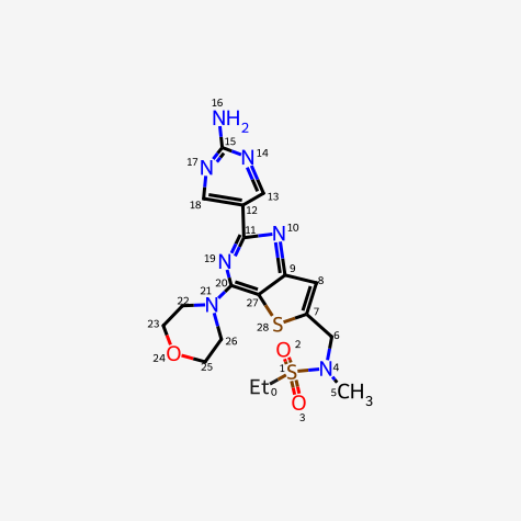 CCS(=O)(=O)N(C)Cc1cc2nc(-c3cnc(N)nc3)nc(N3CCOCC3)c2s1